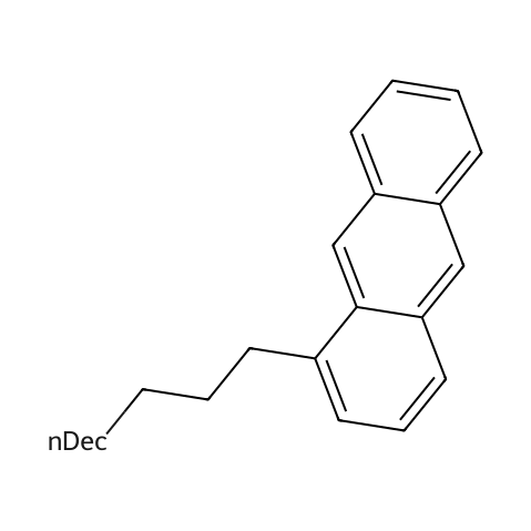 [CH2]CCCCCCCCCCCCc1cccc2cc3ccccc3cc12